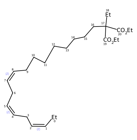 CC/C=C\C/C=C\C/C=C\CCCCCCCCC(CC)(C(=O)OCC)C(=O)OCC